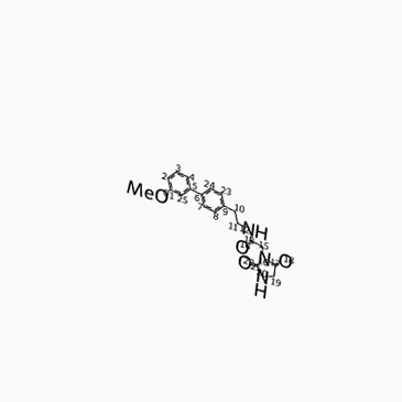 COc1cccc(-c2ccc(CCNC(=O)CN3C(=O)CNC3=O)cc2)c1